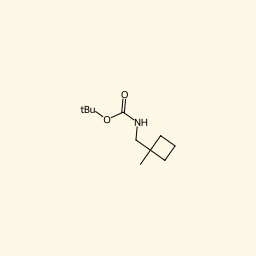 CC1(CNC(=O)OC(C)(C)C)CCC1